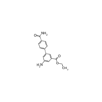 CCOC(=O)c1cc(N)cc(-c2ccc(C(N)=O)cc2)c1